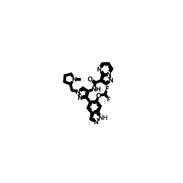 CN1CCCC1Cn1cc(NC(=O)c2cnn3cccnc23)c(-c2cc3cn[nH]c3cc2OC(F)F)n1